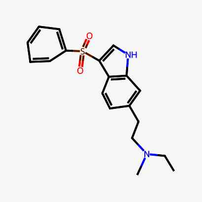 CCN(C)CCc1ccc2c(S(=O)(=O)c3ccccc3)c[nH]c2c1